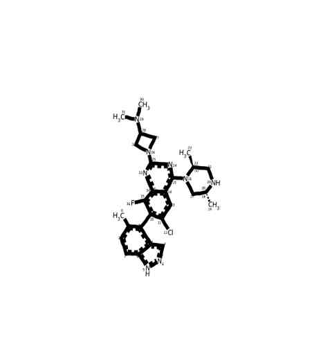 Cc1ccc2[nH]ncc2c1-c1c(Cl)cc2c(N3C[C@@H](C)NC[C@@H]3C)nc(N3CC(N(C)C)C3)nc2c1F